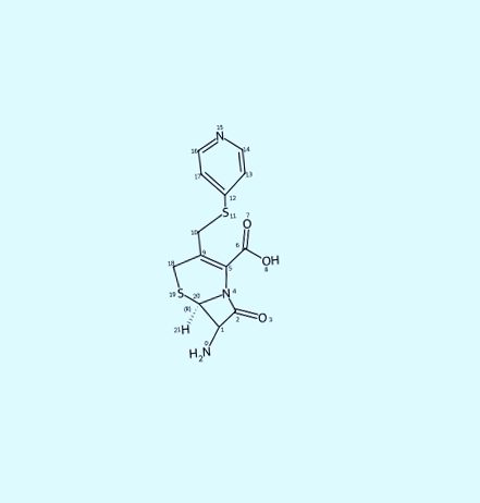 NC1C(=O)N2C(C(=O)O)=C(CSc3ccncc3)CS[C@H]12